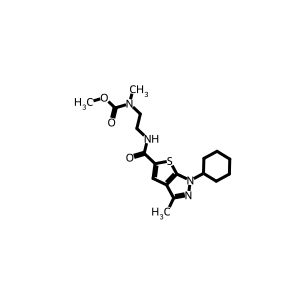 COC(=O)N(C)CCNC(=O)c1cc2c(C)nn(C3CCCCC3)c2s1